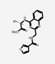 COC(=O)[C@@H](Nc1nc(CNC(=O)c2ccoc2)nc2ccccc12)C(C)C